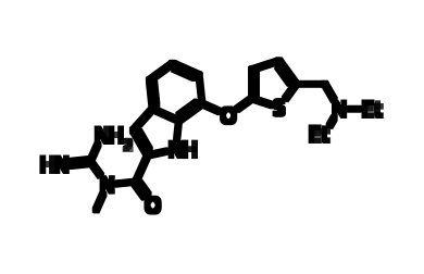 CCN(CC)Cc1ccc(Oc2cccc3cc(C(=O)N(C)C(=N)N)[nH]c23)s1